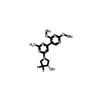 Cc1nc(-c2cnc(OC(C)(C)C)nc2OC(C)(C)C)cc(N2C[C@H](O)C(F)(F)C2)n1